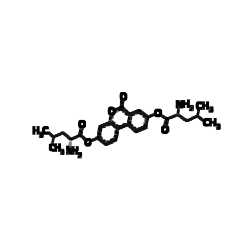 CC(C)CC(N)C(=O)Oc1ccc2c(c1)c(=O)oc1cc(OC(=O)[C@H](N)CC(C)C)ccc12